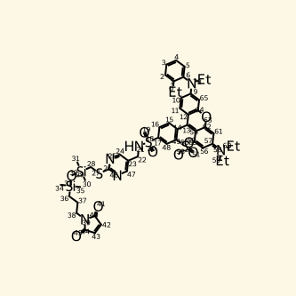 CCc1ccccc1N(CC)c1ccc2c(-c3ccc(S(=O)(=O)NCc4cnc(SC[Si](C)(C)O[Si](C)(C)CCCN5C(=O)C=CC5=O)nc4)cc3S(=O)(=O)[O-])c3ccc(=[N+](CC)CC)cc-3oc2c1